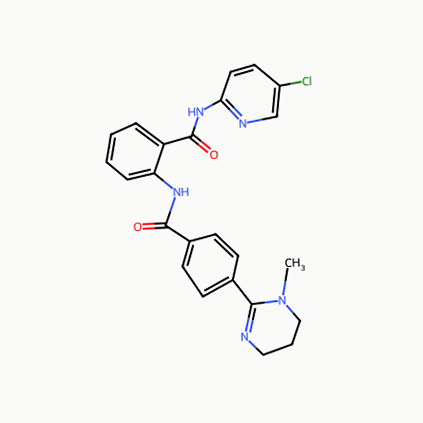 CN1CCCN=C1c1ccc(C(=O)Nc2ccccc2C(=O)Nc2ccc(Cl)cn2)cc1